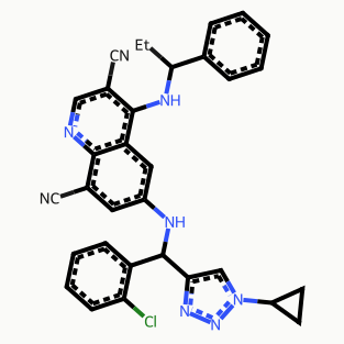 CCC(Nc1c(C#N)cnc2c(C#N)cc(NC(c3cn(C4CC4)nn3)c3ccccc3Cl)cc12)c1ccccc1